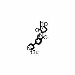 CC(C)(C)C1=NCC=C(c2ccc3c(c2)CN(C2CCC(=O)NC2=O)C3=O)C1